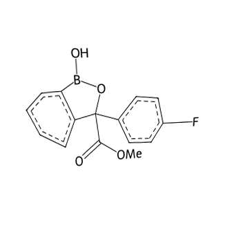 COC(=O)C1(c2ccc(F)cc2)OB(O)c2ccccc21